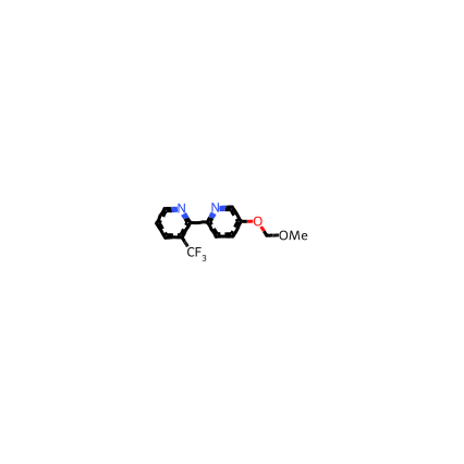 COCOc1ccc(-c2ncccc2C(F)(F)F)nc1